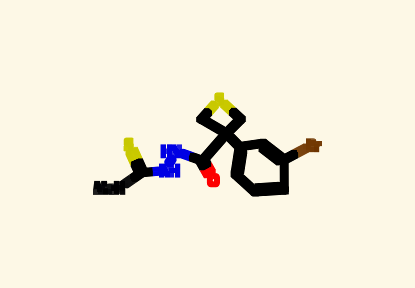 CNC(=S)NNC(=O)C1(c2cccc(Br)c2)CSC1